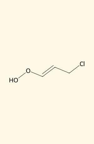 OOC=CCCl